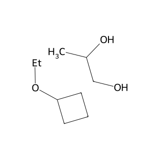 CC(O)CO.CCOC1CCC1